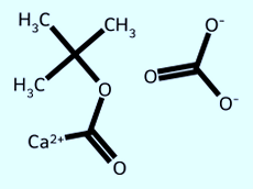 CC(C)(C)O[C](=O)[Ca+2].O=C([O-])[O-]